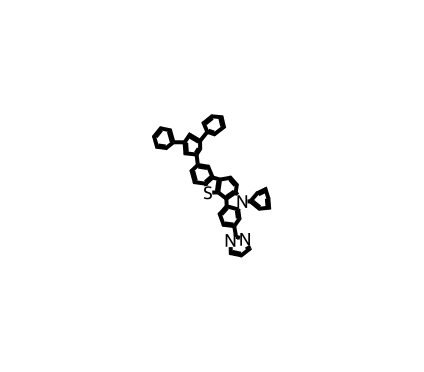 c1ccc(-c2cc(-c3ccccc3)cc(-c3ccc4sc5c(ccc6c5c5ccc(-c7ncccn7)cc5n6-c5ccccc5)c4c3)c2)cc1